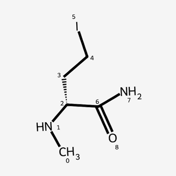 CN[C@H](CCI)C(N)=O